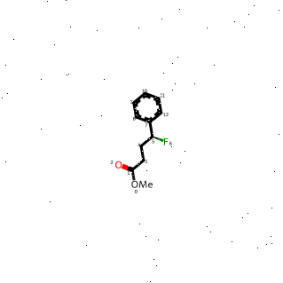 COC(=O)CC[C@H](F)c1ccccc1